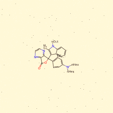 CCCCCCCCn1c(C)c(C2(c3ccc(N(CCCCCC)CCCCCC)cc3C)OC(=O)c3nccnc32)c2ccccc21